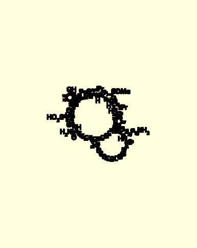 COOC(=O)C[C@@H]1NC(=O)[C@H](CC(C)C)NC(=O)[C@@H]2CCCN2C(=O)[C@@H]2CSCc3cc(cc(c3)OCCCCCCO/N=C/C(=O)N[C@@H](CCCCN)C(=O)N2)CSC[C@@H](C(N)=O)NC(=O)[C@H](CCC(=O)O)NC(=O)[C@H](Cc2ccc(O)cc2)NC(=O)[C@@H]2CCCN2C(=O)[C@H](CC(C)C)NC1=O